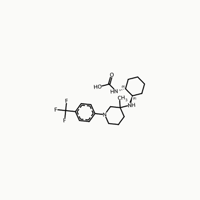 CC1(N[C@@H]2CCCC[C@H]2NC(=O)O)CCCN(c2ccc(C(F)(F)F)cc2)C1